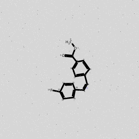 COC(=O)c1ccc(/C=C\c2ccc(F)cc2)cc1